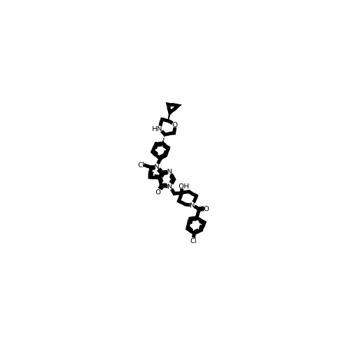 O=C(c1ccc(Cl)cc1)N1CCC(O)(Cn2cnc3c(cc(Cl)n3-c3ccc([C@H]4CO[C@H](C5CC5)CN4)cc3)c2=O)CC1